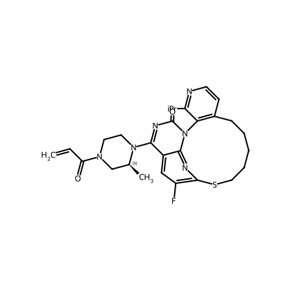 C=CC(=O)N1CCN(c2nc(=O)n3c4nc(c(F)cc24)SCCCCCc2ccnc(C(C)C)c2-3)[C@@H](C)C1